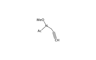 C#CCN(OC)C(C)=O